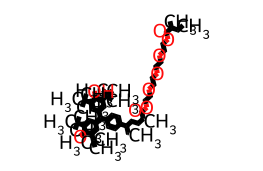 CCC(C)C(=O)OCCOCCOCCOCCOC(=O)C(C)CCC(CC)c1ccc(C(=C2C=C(C(C)(C)C)C(=O)C(C(C)(C)C)=C2)c2cc(C(C)(C)C)c(O)c(C(C)(C)C)c2)cc1